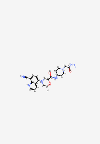 C[C@@H]1CN(c2ccc(C#N)c3ncccc23)CC(C(=O)NC2CCN(CC(N)=O)CC2)O1